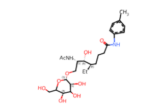 CC[C@H](CCCC(=O)Nc1ccc(C)cc1)[C@@H](O)[C@H](CO[C@H]1OC(CO)[C@H](O)C(O)[C@@H]1O)NC(C)=O